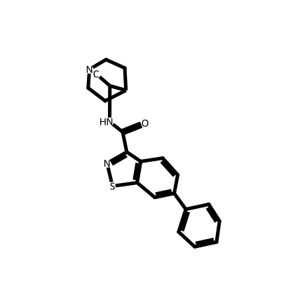 O=C(NC1CN2CCC1CC2)c1nsc2cc(-c3ccccc3)ccc12